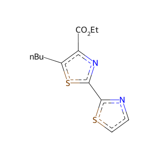 CCCCc1sc(-c2nccs2)nc1C(=O)OCC